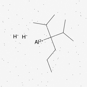 CCC[C]([Al+2])(C(C)C)C(C)C.[H-].[H-]